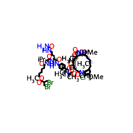 COc1cc2cc(c1Cl)N(C)C(=O)C[C@H](OC(=O)[C@H](C)N(C)C(=O)c1ccc(NC(=O)[C@H](CCCNC(N)=O)NC(=O)[C@@H](NC(=O)CCCCC(C)OC(=O)C(CBr)CBr)C(C)C)cc1C(F)(F)F)[C@]1(C)O[C@H]1[C@H](C)[C@@H]1C[C@@](O)(NC(=O)O1)[C@H](OC)/C=C/C=C(\C)C2